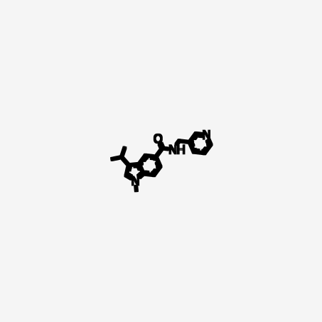 CC(C)c1cn(C)c2ccc(C(=O)NCc3cccnc3)cc12